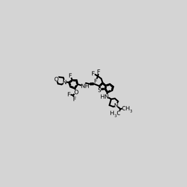 CC(C)N1CCC(Nc2cccc3c(CC(F)(F)F)c(C#CCNc4cc(F)c(N5CCOCC5)cc4OC(F)F)sc23)CC1